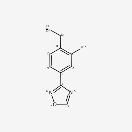 Fc1cc(-c2ncon2)ccc1CBr